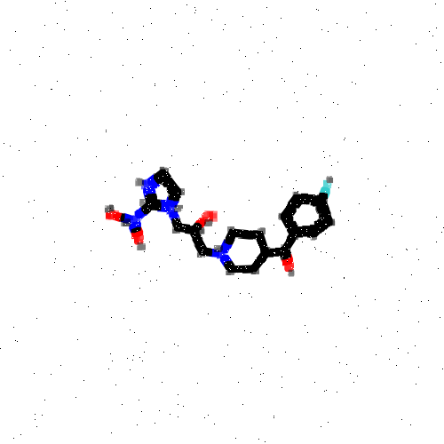 O=C(c1ccc(F)cc1)C1CCN(CC(O)Cn2ccnc2[N+](=O)[O-])CC1